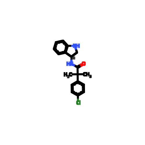 CC(C)(C(=O)N[C@@H]1CNc2ccccc21)c1ccc(Cl)cc1